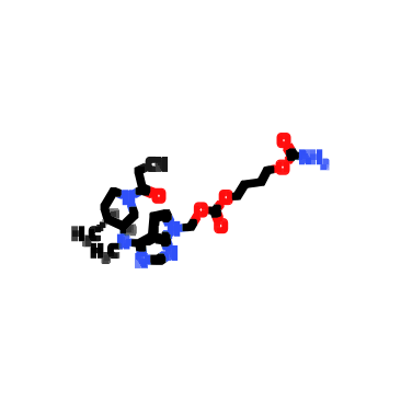 C[C@@H]1CCN(C(=O)CC#N)C[C@@H]1N(C)c1ncnc2c1ccn2COC(=O)OCCCCOC(N)=O